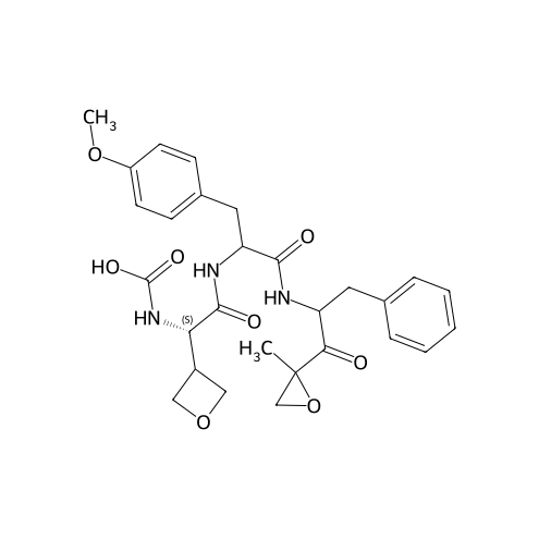 COc1ccc(CC(NC(=O)[C@@H](NC(=O)O)C2COC2)C(=O)NC(Cc2ccccc2)C(=O)C2(C)CO2)cc1